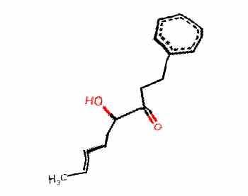 CC=CCC(O)C(=O)CCc1ccccc1